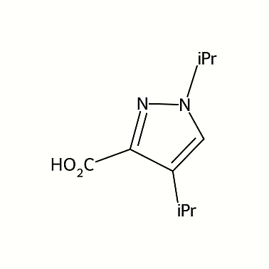 CC(C)c1cn(C(C)C)nc1C(=O)O